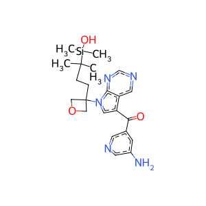 CC(C)(CCC1(n2cc(C(=O)c3cncc(N)c3)c3cncnc32)COC1)[Si](C)(C)O